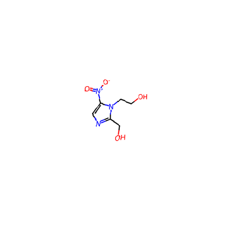 O=[N+]([O-])c1cnc(CO)n1CCO